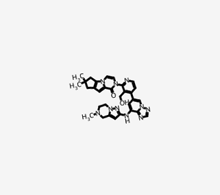 CN1CCn2nc(Nc3cc(-c4ccnc(-n5ccn6c7c(cc6c5=O)CC(C)(C)C7)c4CO)cn4ncnc34)cc2C1